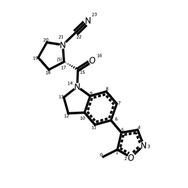 Cc1oncc1-c1ccc2c(c1)CCN2C(=O)[C@@H]1CCCN1C#N